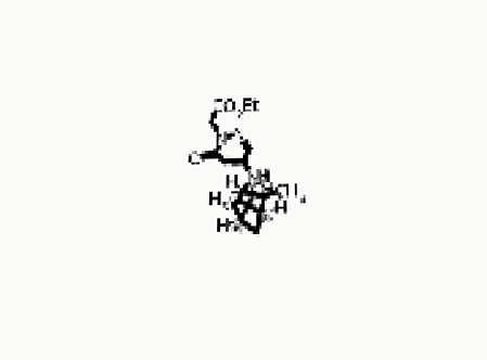 CCOC(=O)Cn1ncc(N[C@@H]2C[C@H]3C[C@H]([C@@H]2C)C3(C)C)cc1=O